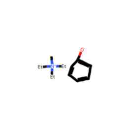 CC[N+](C)(CC)CC.[O-]c1ccccc1